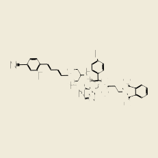 C[C@@H](SC1COC(C=CC=Cc2ccc(C#N)cc2F)OC1)[C@@](Cn1cncn1)(OC(=O)CCN1C(=O)c2ccccc2C1=O)c1ccc(F)cc1F